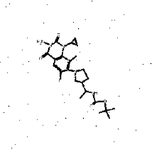 Cc1c(N2CCC(C(C)NC(=O)OC(C)(C)C)C2)c(F)cc2c(=O)n(N)c(=O)n(C3CC3)c12